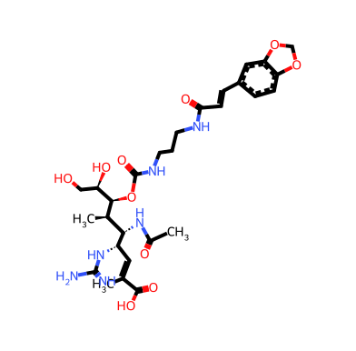 CC(=O)N[C@@H]([C@@H](C)[C@H](OC(=O)NCCCNC(=O)/C=C/c1ccc2c(c1)OCO2)[C@H](O)CO)[C@H](/C=C(\C)C(=O)O)NC(=N)N